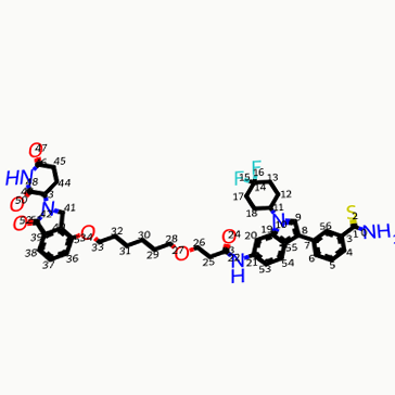 NC(=S)c1cccc(-c2cn(C3CCC(F)(F)CC3)c3cc(NC(=O)CCOCCCCCCOc4cccc5c4CN(C4CCC(=O)NC4=O)C5=O)ccc23)c1